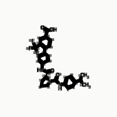 CC(C)c1ccc(NC(=O)N2CCC[C@@H]2C(=O)Nc2ccc(-c3ccc(C(=O)O)cc3C(F)(F)F)cc2)cc1